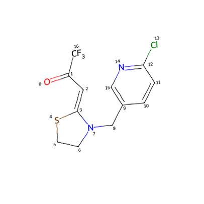 O=C(/C=C1\SCCN1Cc1ccc(Cl)nc1)C(F)(F)F